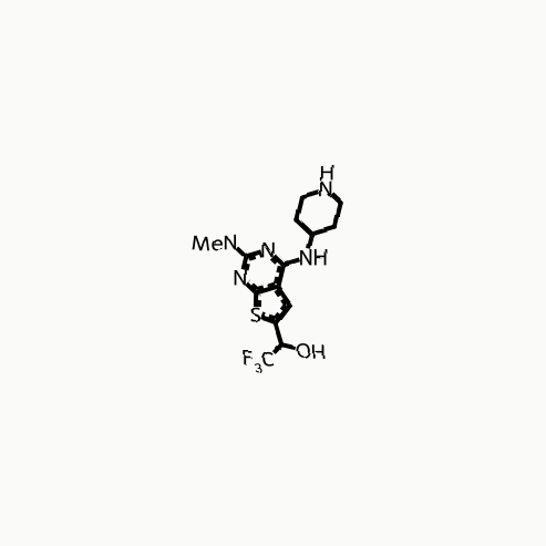 CNc1nc(NC2CCNCC2)c2cc(C(O)C(F)(F)F)sc2n1